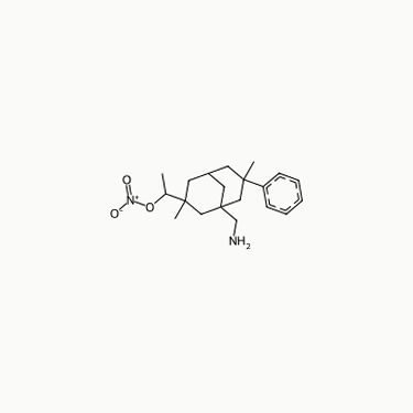 CC(O[N+](=O)[O-])C1(C)CC2CC(CN)(CC(C)(c3ccccc3)C2)C1